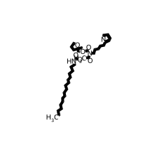 CCCCCCCCCCCCCCCCCCNC(=O)OCC1(COC(=O)N(CCCCCc2ccccn2)C(C)=O)CCCO1